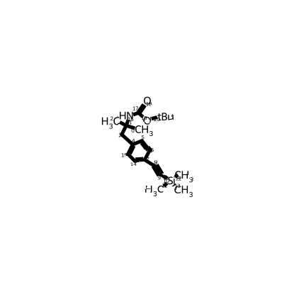 CC(C)(Cc1ccc(C#C[Si](C)(C)C)cc1)NC(=O)OC(C)(C)C